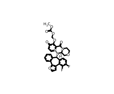 COC(=O)OCOc1c2n(ccc1=O)N([C@@H]1c3ccccc3-c3occc3-c3c1ccc(F)c3F)[C@@H]1COCCN1C2=O